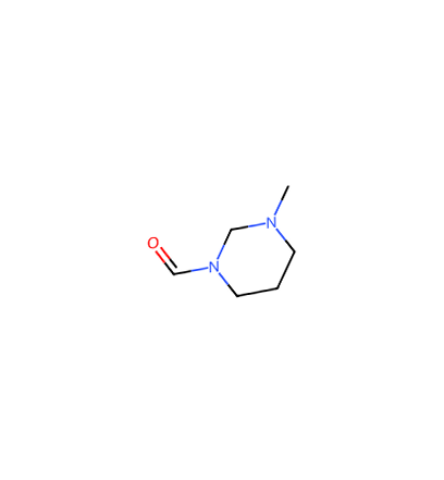 CN1CCCN(C=O)C1